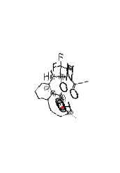 CC(=O)N[C@@]1(C(F)(F)F)O[C@@H]2O[C@]3(C)CCC4CCC[C@@H]([C@H]1C)[C@]42OO3